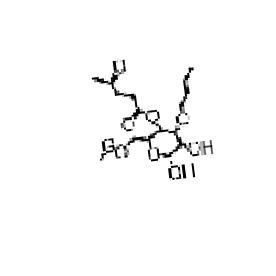 CCCCOC1C(O)[C@H](O)OC(COOC)[C@H]1OC(=O)CCC(C)=O